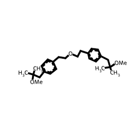 COC(C)(C)Cc1ccc(CCOCCc2ccc(CC(C)(C)OC)cc2)cc1